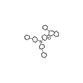 c1ccc(-c2ccc(N(c3ccc(-c4ccccc4)cc3)c3ccc4c(c3)oc3c5ccccc5cc(-c5ccccc5)c43)cc2)cc1